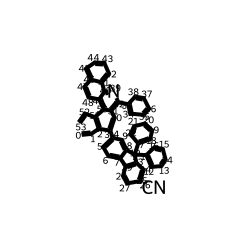 C=Cc1c(-c2ccc3c(c2)C(c2ccccc2)(c2ccccc2)c2cc(C#N)ccc2-3)cc2c(-c3ccccc3)nc3c4ccccc4ccc3c2c1C=C